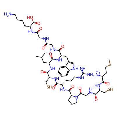 CSCC[C@H](N)C(=O)N[C@@H](CS)C(=O)NCC(=O)N1CCC[C@H]1C(=O)N[C@@H](CCCNC(=N)N)C(=O)N[C@@H](CS)C(=O)N[C@@H](CC(C)C)C(=O)N[C@@H](Cc1c[nH]c2ccccc12)C(=O)NCC(=O)NCC(=O)N[C@@H](CCCCN)C(=O)O